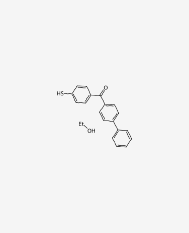 CCO.O=C(c1ccc(S)cc1)c1ccc(-c2ccccc2)cc1